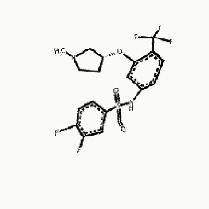 CN1CC[C@@H](Oc2cc(NS(=O)(=O)c3ccc(F)c(F)c3)ccc2C(F)(F)F)C1